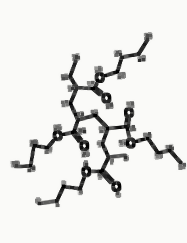 CCCCOC(=O)C(C)CC(CC(CC(CC)C(=O)OCCCC)C(=O)OCCCC)C(=O)OCCCC